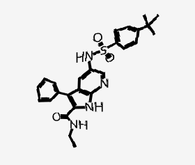 CCNC(=O)c1[nH]c2ncc(NS(=O)(=O)c3ccc(C(C)(C)C)cc3)cc2c1-c1ccccc1